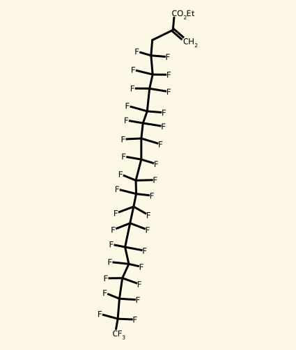 C=C(CC(F)(F)C(F)(F)C(F)(F)C(F)(F)C(F)(F)C(F)(F)C(F)(F)C(F)(F)C(F)(F)C(F)(F)C(F)(F)C(F)(F)C(F)(F)C(F)(F)C(F)(F)C(F)(F)C(F)(F)F)C(=O)OCC